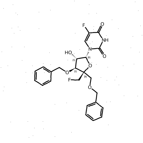 O=c1[nH]c(=O)n([C@@H]2O[C@](CF)(COCc3ccccc3)[C@@H](OCc3ccccc3)[C@@H]2O)cc1F